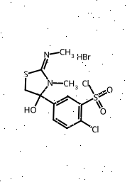 Br.CN=C1SCC(O)(c2ccc(Cl)c(S(=O)(=O)Cl)c2)N1C